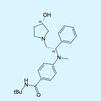 CN(c1ccc(C(=O)NC(C)(C)C)cc1)[C@H](CN1CC[C@H](O)C1)c1ccccc1